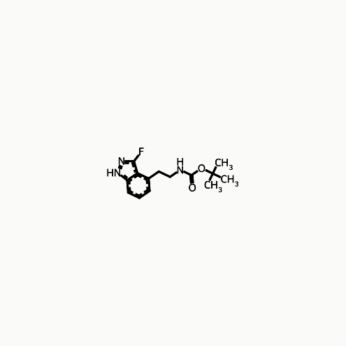 CC(C)(C)OC(=O)NCCc1cccc2[nH]nc(F)c12